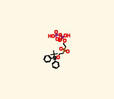 CC(C)(C)[Si](OCCS(=O)(=O)CCOP(=O)(O)OP(=O)(O)O)(c1ccccc1)c1ccccc1